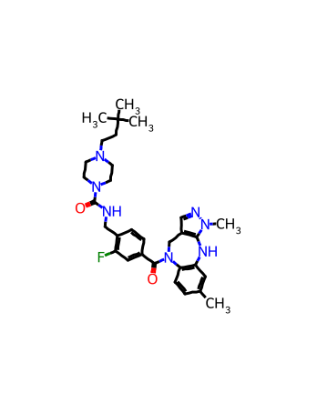 Cc1ccc2c(c1)Nc1c(cnn1C)CN2C(=O)c1ccc(CNC(=O)N2CCN(CCC(C)(C)C)CC2)c(F)c1